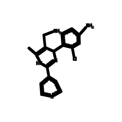 CC1=C(CN)C(c2ccc(N)cc2Cl)N=C(c2ccncc2)N1